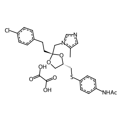 CC(=O)Nc1ccc(SC[C@@H]2CO[C@](CCc3ccc(Cl)cc3)(Cn3cncc3C)O2)cc1.O=C(O)C(=O)O